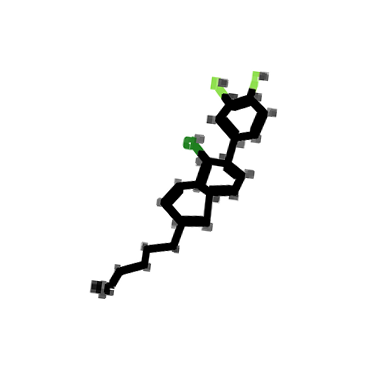 CCCCCc1ccc2c(Cl)c(-c3ccc(F)c(F)c3)ccc2c1